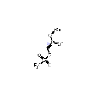 CC(C)(C)O/[P+]([O-])=C/OS(=O)(=O)C(F)(F)F